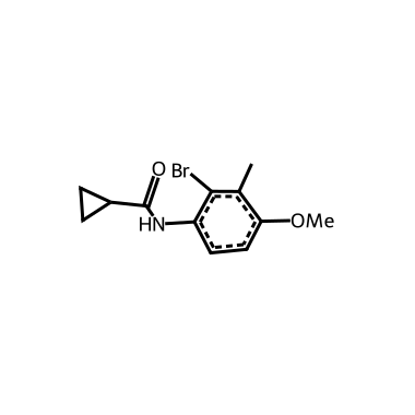 COc1ccc(NC(=O)C2CC2)c(Br)c1C